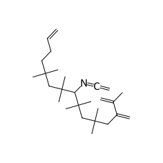 C=C=NC(C(C)(C)CC(C)(C)CCC=C)C(C)(C)CC(C)(C)CC(=C)C(=C)C